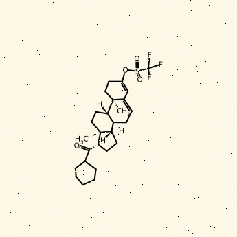 C[C@]12CC[C@H]3[C@@H](CC=C4C=C(OS(=O)(=O)C(F)(F)F)CC[C@@]43C)[C@@H]1CC[C@@H]2C(=O)C1CCCCC1